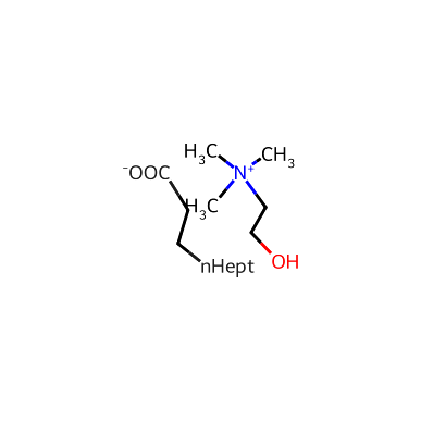 CCCCCCCCCC(=O)[O-].C[N+](C)(C)CCO